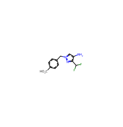 Nc1cn(Cc2ccc(C(=O)O)cc2)nc1C(F)F